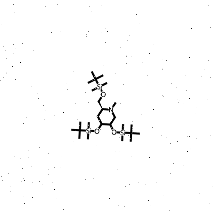 CN1CC(O[Si](C)(C)C(C)(C)C)C(O[Si](C)(C)C(C)(C)C)C[C@H]1CO[Si](C)(C)C(C)(C)C